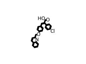 O=C(O)/C(=C/c1ccc(OCc2ccc3ccccc3n2)cc1)c1ccc(Cl)cc1